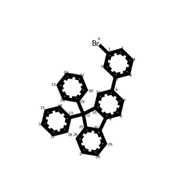 Brc1cccc(-c2ccc3c(c2)C(c2ccccc2)(c2ccccc2)c2ccccc2-3)c1